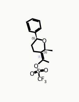 C/C(OS(=O)(=O)C(F)(F)F)=C1/CC[C@@H](c2ccccc2)O[C@H]1C